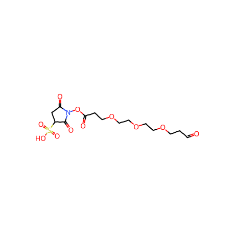 O=CCCOCCOCCOCCC(=O)ON1C(=O)CC(S(=O)(=O)O)C1=O